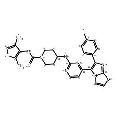 Cc1noc(C)c1NC(=O)N1CCC(Nc2nccc(-c3c(-c4ccc(F)cc4)nc4occn34)n2)CC1